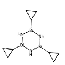 C1C[CH]1[Bi]1[NH][Bi]([CH]2CC2)[NH][Bi]([CH]2CC2)[NH]1